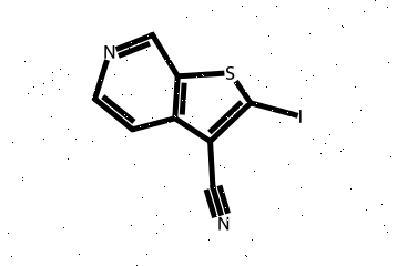 N#Cc1c(I)sc2cnccc12